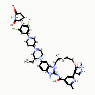 Cc1cc2cc(n1)-c1cnn(C)c1OCCC[C@@H](C)CN1/C(=N/C2=O)Nc2ccc(N3CCN(C4CCN(c5cc(F)c([C@H]6CCC(=O)NC6=O)c(F)c5)CC4)C[C@@H]3CC#N)cc21